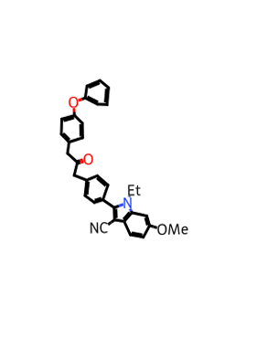 CCn1c(-c2ccc(CC(=O)Cc3ccc(Oc4ccccc4)cc3)cc2)c(C#N)c2ccc(OC)cc21